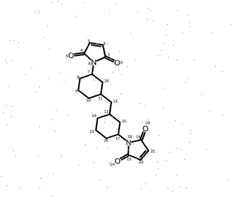 O=C1C=CC(=O)N1C1CCCC(CC2CCCC(N3C(=O)C=CC3=O)C2)C1